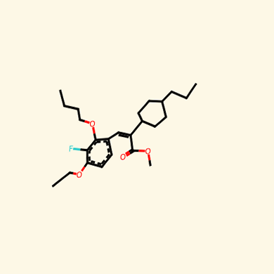 CCCCOc1c(C=C(C(=O)OC)C2CCC(CCC)CC2)ccc(OCC)c1F